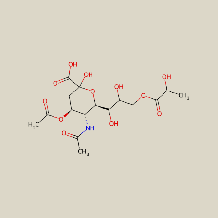 CC(=O)N[C@@H]1[C@@H](OC(C)=O)CC(O)(C(=O)O)O[C@H]1C(O)C(O)COC(=O)C(C)O